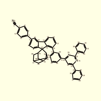 N#Cc1ccc(-c2ccc3c(c2)-c2cccc(-c4cccc(-c5cc(-c6ccccc6)nc(-c6ccccc6)n5)c4)c2C32C3CC4CC(C3)CC2C4)cc1